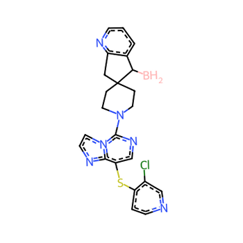 BC1c2cccnc2CC12CCN(c1ncc(Sc3ccncc3Cl)c3nccn13)CC2